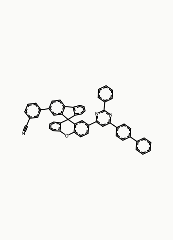 N#Cc1cccc(-c2ccc3c(c2)C2(c4ccccc4Oc4ccc(-c5cc(-c6ccc(-c7ccccc7)cc6)nc(-c6ccccc6)n5)cc42)c2ccccc2-3)c1